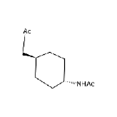 CC(=O)C[C@H]1CC[C@H](NC(C)=O)CC1